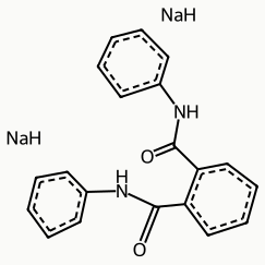 O=C(Nc1ccccc1)c1ccccc1C(=O)Nc1ccccc1.[NaH].[NaH]